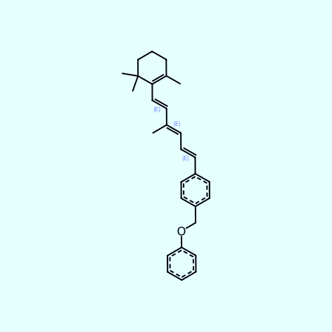 CC1=C(/C=C/C(C)=C/C=C/c2ccc(COc3ccccc3)cc2)C(C)(C)CCC1